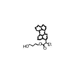 CCC(C(=O)OCCCCO)c1ccc2c3cccc4cccc(c5cccc1c52)c43